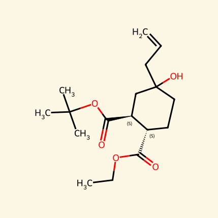 C=CCC1(O)CC[C@H](C(=O)OCC)[C@@H](C(=O)OC(C)(C)C)C1